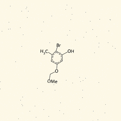 COCOc1cc(C)c(Br)c(O)c1